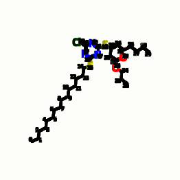 CCCCCCCCCCCCCCCSc1nc(Cl)nc(SC(CCCCCC)CC(=O)OCCC)n1